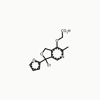 CCC1(c2ccco2)OCc2c1cnc(C)c2OCC(=O)O